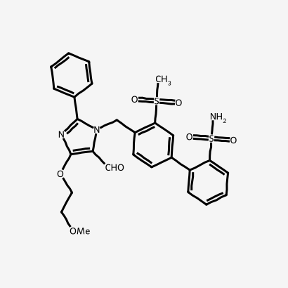 COCCOc1nc(-c2ccccc2)n(Cc2ccc(-c3ccccc3S(N)(=O)=O)cc2S(C)(=O)=O)c1C=O